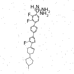 CC1CCC(C2CC=C(c3ccc(-c4ccc(-c5ccc(OC(N)(N)N)c(F)c5F)cc4)cc3F)CC2)CC1